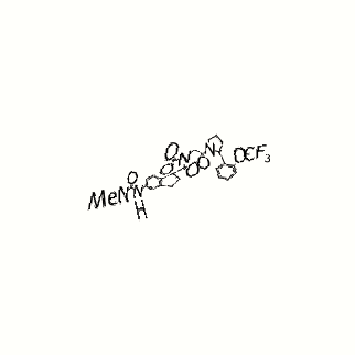 CNC(=O)Nc1ccc2c(c1)CCC21OC(=O)N(CC(=O)N2CCCC2c2ccccc2OC(F)(F)F)C1=O